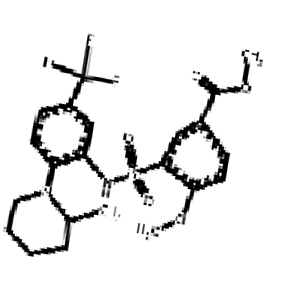 COC(=O)c1ccc(OC)c(S(=O)(=O)Nc2cc(C(F)(F)F)ccc2N2CCCCC2C)c1